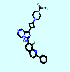 CC(=O)N1CCN(C2CC(C3=C4C=NC=C[N+]4(N)C(c4ccc5ccc(-c6ccccc6)nc5c4F)=N3)C2)CC1